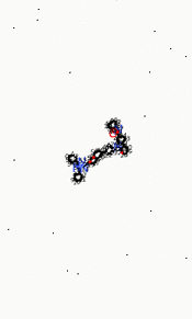 c1ccc(-c2nc(-c3ccccc3)nc(-c3ccc4cc(-c5ccc(-n6c7ccccc7c7ccc(-c8nc9ccccc9o8)cc76)cc5)ccc4c3)n2)cc1